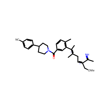 COC/C(=C/C/C(C)=C(\C)c1cc(C(=O)N2CCC(c3ccc(C#N)cc3)CC2)ccc1C)C(C)=N